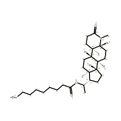 CCCCCCCCCCCCCCCCCC(=O)OC(C)[C@H]1CC[C@H]2[C@@H]3CC[C@H]4N(C)C(=O)CC[C@]4(C)[C@H]3CC[C@]12C